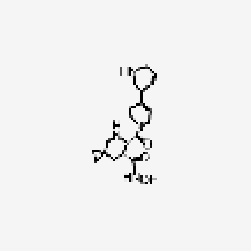 O=C(NO)[C@H]1CC2(CC2)CN[C@@H]1C(=O)N1CC=C(C2C=CCNC2)CC1